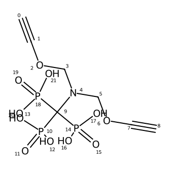 C#COCN(COC#C)C(P(=O)(O)O)(P(=O)(O)O)P(=O)(O)O